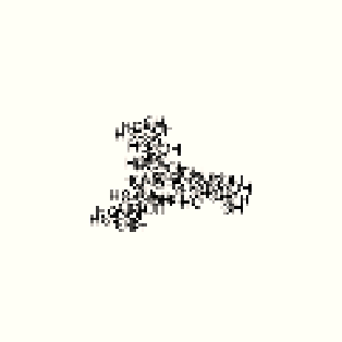 CC(C)C1OC(CO)C(O)C(OC2OC(CO)C(O)C(OC3OC(CO)C(O)C(OC4OC(COC5OC(CO)C(O)C(OC6OC(CO)C(O)C(OC7OC(CO)C(O)C(O)C7O)C6O)C5O)C(O)C(OC5OC(CO)C(O)C(OC6OC(CO)C(O)C(O)C6O)C5O)C4O)C3O)C2O)C1O